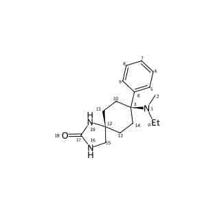 CCN(C)[C@]1(c2ccccc2)CC[C@@]2(CC1)CNC(=O)N2